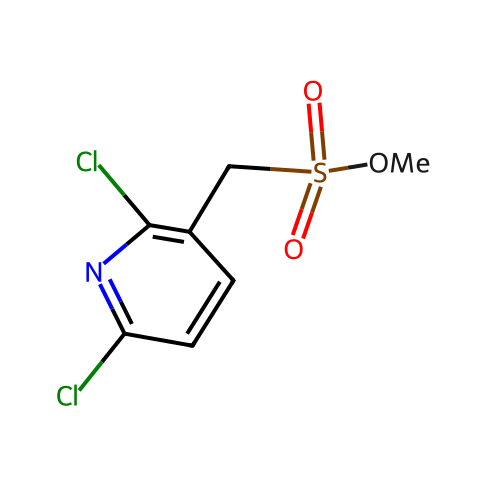 COS(=O)(=O)Cc1ccc(Cl)nc1Cl